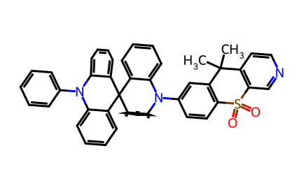 CC1(C)c2cc(N3c4ccccc4C4(c5ccccc5N(c5ccccc5)c5ccccc54)c4ccccc43)ccc2S(=O)(=O)c2cnccc21